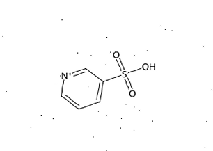 O=S(=O)(O)C1=CC=C[N+]=C1